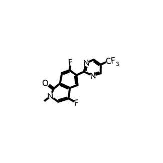 Cn1cc(F)c2cc(-c3ncc(C(F)(F)F)cn3)c(F)cc2c1=O